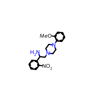 COc1ccccc1N1CCN(CC(N)c2ccccc2[N+](=O)[O-])CC1